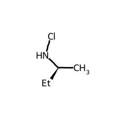 CC[C@H](C)NCl